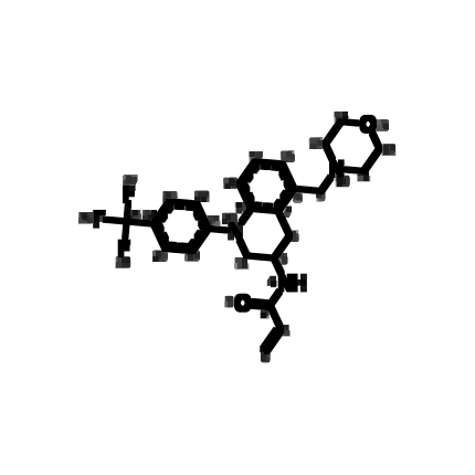 C=CC(=O)NC1Cc2c(CN3CCOCC3)cccc2N(c2ccc(C(F)(F)F)cc2)C1